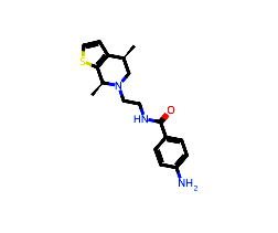 C[C@H]1CN(CCNC(=O)c2ccc(N)cc2)[C@@H](C)c2sccc21